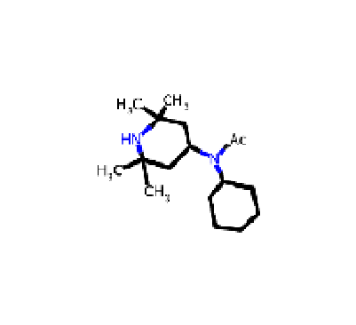 CC(=O)N(C1CCCCC1)C1CC(C)(C)NC(C)(C)C1